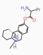 CC(C)C(N)C(=O)Oc1ccc2c(c1)[C@]13CCCC[C@@H]1[C@H](C2)N(C)CC3